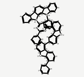 c1ccc(-c2nc(-c3cccc4oc5ccc(-c6cccc7oc8c(-c9ccccc9)cccc8c67)cc5c34)nc(-n3c4ccccc4c4ccc5c6ccccc6n(-c6ccccc6)c5c43)n2)cc1